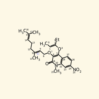 CC=C(CC)Oc1c(OC/C=C(\C)CCC=C(C)C)c(=O)n(C)c2cc([N+](=O)[O-])ccc12